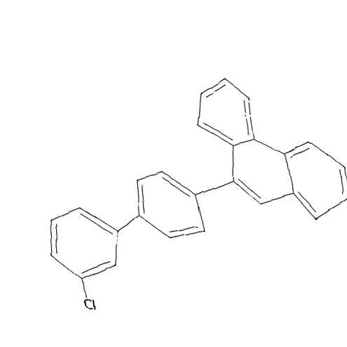 Clc1cccc(-c2ccc(-c3cc4ccccc4c4ccccc34)cc2)c1